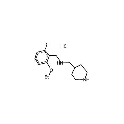 CCOc1cccc(Cl)c1CNCC1CCNCC1.Cl